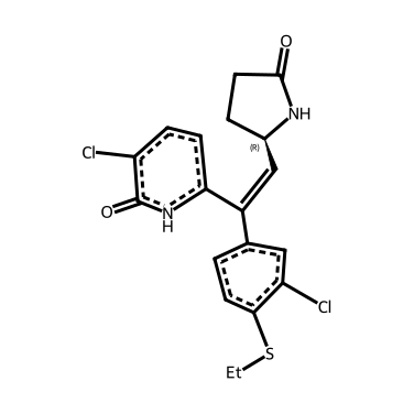 CCSc1ccc(C(=C[C@H]2CCC(=O)N2)c2ccc(Cl)c(=O)[nH]2)cc1Cl